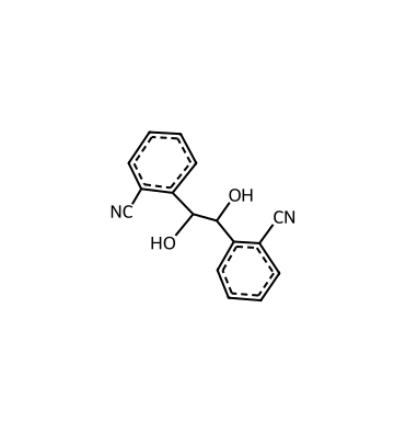 N#Cc1ccccc1C(O)C(O)c1ccccc1C#N